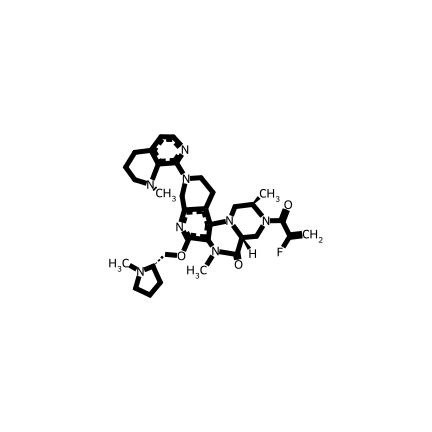 C=C(F)C(=O)N1C[C@@H]2C(=O)N(C)c3c(OC[C@@H]4CCCN4C)nc4c(c3N2C[C@H]1C)CCN(c1nccc2c1N(C)CCC2)C4